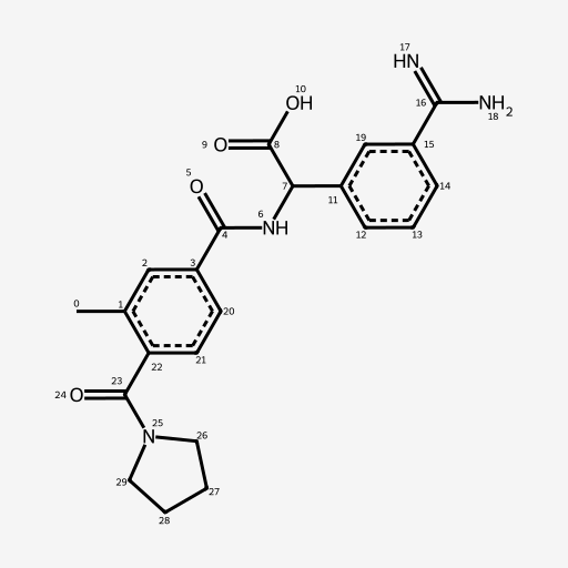 Cc1cc(C(=O)NC(C(=O)O)c2cccc(C(=N)N)c2)ccc1C(=O)N1CCCC1